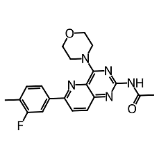 CC(=O)Nc1nc(N2CCOCC2)c2nc(-c3ccc(C)c(F)c3)ccc2n1